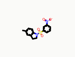 Cc1ccc2c(c1)CCN2S(=O)(=O)c1cccc([N+](=O)[O-])c1